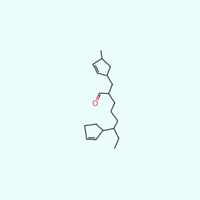 CCC(CCCC(C=O)CC1C=CC(C)C1)C1C=CCC1